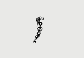 CN(C)CCON=C1CCN(c2ncc(-c3cccc(CO[Si](C)(C)C(C)(C)C)c3F)cn2)CC1